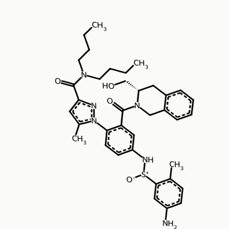 CCCCN(CCCC)C(=O)c1cc(C)n(-c2ccc(N[S+]([O-])c3cc(N)ccc3C)cc2C(=O)N2Cc3ccccc3C[C@H]2CO)n1